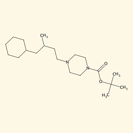 CC(CCN1CCN(C(=O)OC(C)(C)C)CC1)CC1CCCCC1